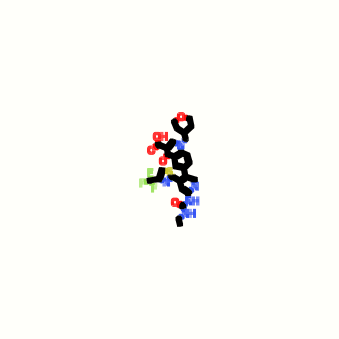 CCNC(=O)Nc1cc(-c2nc(C(F)(F)F)cs2)c(-c2ccc3c(c2)c(=O)c(C(=O)O)cn3CC2CCOCC2)cn1